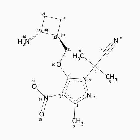 Cc1nn(C(C)(C)C#N)c(OC[C@@H]2CC[C@H]2N)c1[N+](=O)[O-]